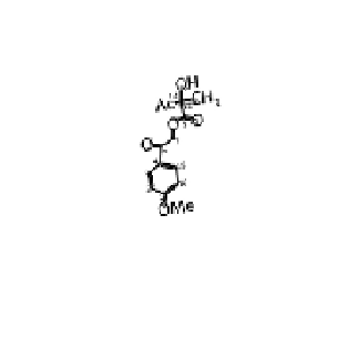 COc1ccc(C(=O)COC(=O)[C@@](C)(O)C(C)=O)cc1